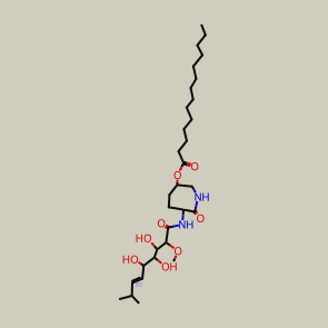 CCCCCCCCCCCCCC(=O)OC1CCC(NC(=O)C(OC)C(O)C(O)C(O)/C=C/C(C)C)C(=O)NC1